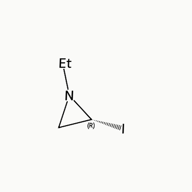 CCN1C[C@H]1I